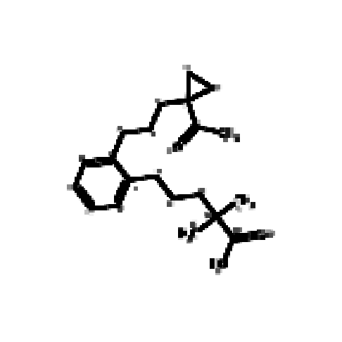 CC(=O)C1(CCCc2ccccc2CCCC(C)(C)C(=O)O)CC1